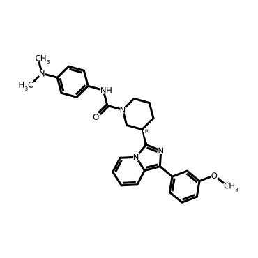 COc1cccc(-c2nc([C@@H]3CCCN(C(=O)Nc4ccc(N(C)C)cc4)C3)n3ccccc23)c1